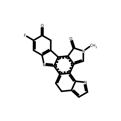 CN1C=c2c(c3c(c4c2=C2N=CC=C2CC=4)=NC2=C3CC(=O)C(F)=C2)C1=O